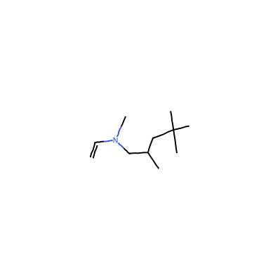 C=CN(C)CC(C)CC(C)(C)C